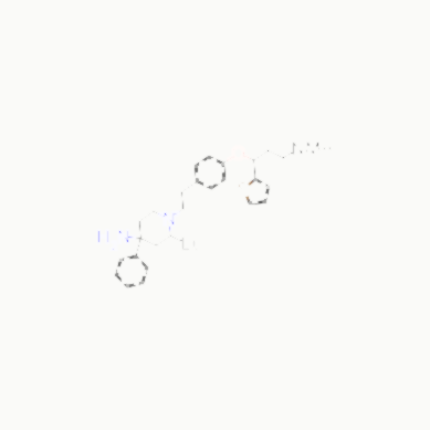 CCC1CC(N)(c2ccccc2)CCN1CCc1ccc(OC(CCNC)c2cccs2)cc1